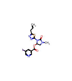 C=CCc1nnc(N2C(=O)N(C)CC2OC(=O)c2cncc(I)c2)s1